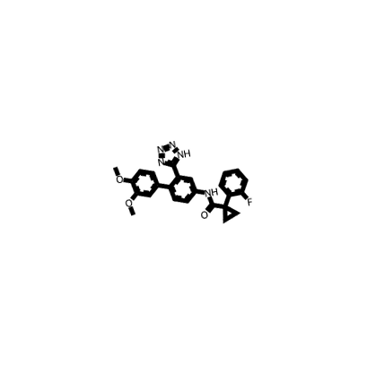 COc1ccc(-c2ccc(NC(=O)C3(c4ccccc4F)CC3)cc2-c2nnn[nH]2)cc1OC